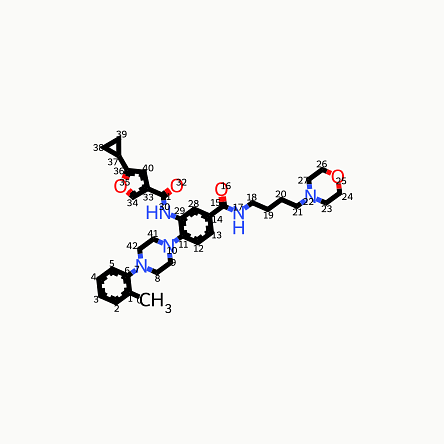 Cc1ccccc1N1CCN(c2ccc(C(=O)NCCCCN3CCOCC3)cc2NC(=O)c2coc(C3CC3)c2)CC1